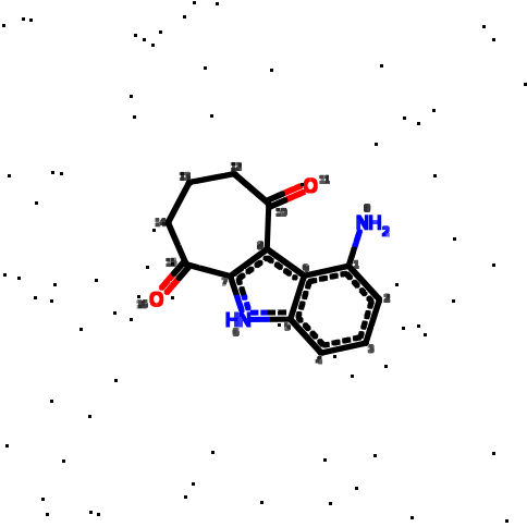 Nc1cccc2[nH]c3c(c12)C(=O)CCCC3=O